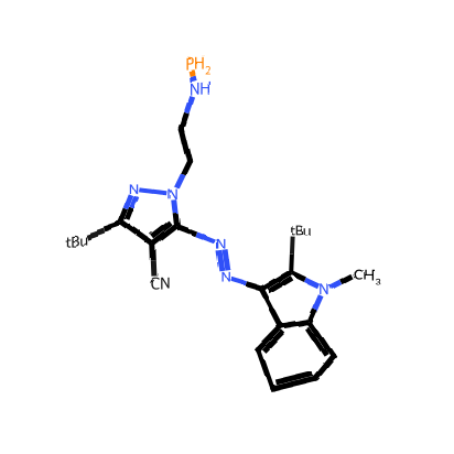 Cn1c(C(C)(C)C)c(/N=N/c2c(C#N)c(C(C)(C)C)nn2CCNP)c2ccccc21